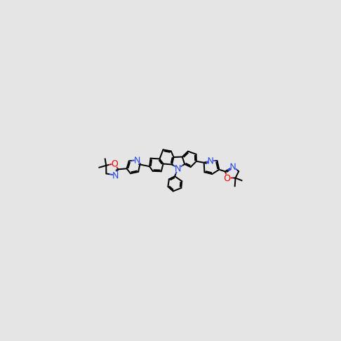 CC1(C)CN=C(c2ccc(-c3ccc4c(ccc5c6ccc(-c7ccc(C8=NCC(C)(C)O8)cn7)cc6n(-c6ccccc6)c45)c3)nc2)O1